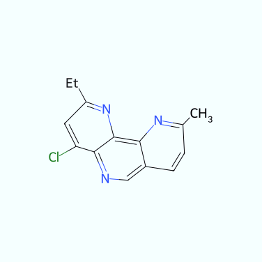 CCc1cc(Cl)c2ncc3ccc(C)nc3c2n1